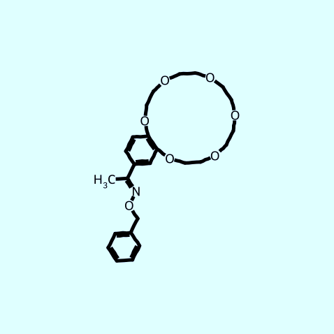 CC(=NOCc1ccccc1)c1ccc2c(c1)OCCOCCOCCOCCOCCO2